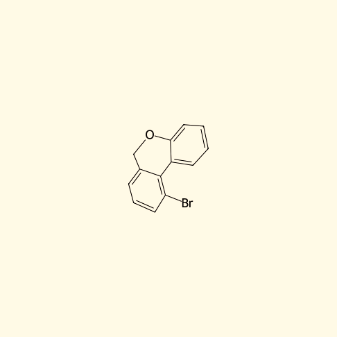 Brc1cccc2c1-c1ccccc1OC2